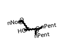 CCCCCC#CCOC(CCCCCCN(CCO)CCCCCCCC(=O)OCCCCCCCCC)OCC#CCCCCC